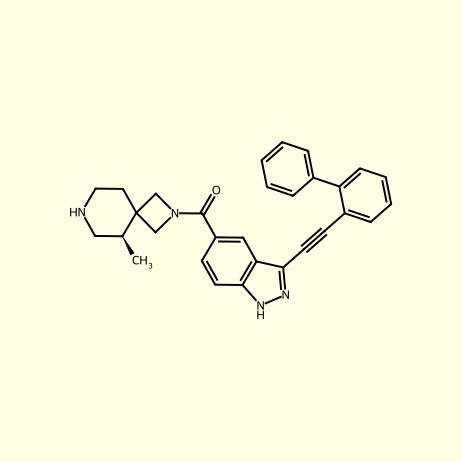 C[C@H]1CNCCC12CN(C(=O)c1ccc3[nH]nc(C#Cc4ccccc4-c4ccccc4)c3c1)C2